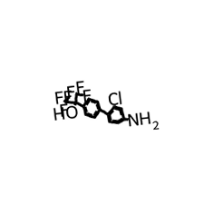 Nc1ccc(-c2ccc(C(O)(C(F)(F)F)C(F)(F)F)cc2)c(Cl)c1